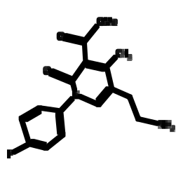 COC(=O)c1c(C)c(CCN)cn(-c2ccc(F)cc2)c1=O